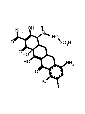 CN(C)[C@@H]1C(O)=C(C(N)=O)C(=O)[C@@]2(O)C(O)=C3C(=O)c4c(O)c(I)cc(N)c4CC3CC12.O=S(=O)(O)O